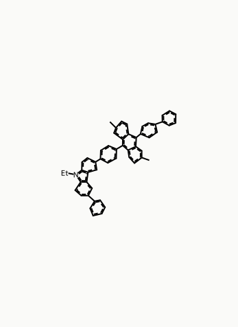 CCn1c2ccc(-c3ccccc3)cc2c2cc(-c3ccc(-c4c5ccc(C)cc5c(-c5ccc(-c6ccccc6)cc5)c5ccc(C)cc45)cc3)ccc21